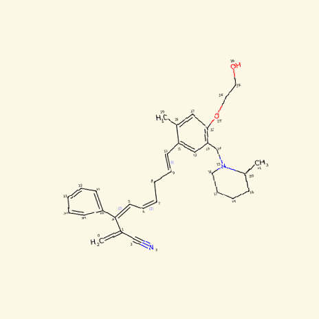 C=C(C#N)/C(=C\C=C/C/C=C/c1cc(CN2CCCCC2C)c(OCCO)cc1C)c1ccccc1